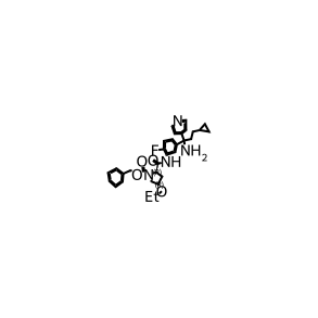 CCO[C@@H]1C[C@H](C(=O)Nc2cc(C(N)(CCC3CC3)c3ccncc3)ccc2F)N(C(=O)OCc2ccccc2)C1